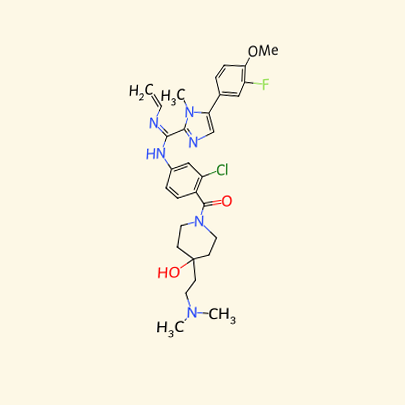 C=C/N=C(/Nc1ccc(C(=O)N2CCC(O)(CCN(C)C)CC2)c(Cl)c1)c1ncc(-c2ccc(OC)c(F)c2)n1C